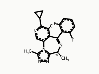 Cc1nnc2n1-c1cnc(C3CC3)c(Cl)c1C(c1c(F)cccc1F)=N[C@H]2C